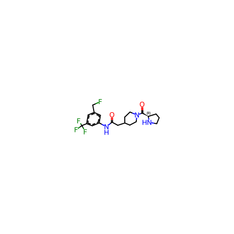 O=C(CC1CCN(C(=O)[C@H]2CCCN2)CC1)Nc1cc(CF)cc(C(F)(F)F)c1